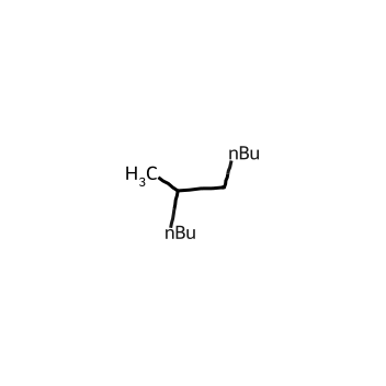 C[CH]CCCC(C)CCCC